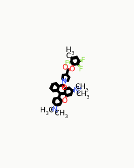 Cc1cc(F)c(F)c(OC(=O)C2CCN(C(=O)c3ccccc3-c3c4ccc(=[N+](C)C)cc-4oc4cc(N(C)C)ccc34)CC2)c1F